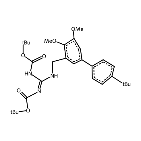 COc1cc(-c2ccc(C(C)(C)C)cc2)cc(CN/C(=N/C(=O)OC(C)(C)C)NC(=O)OC(C)(C)C)c1OC